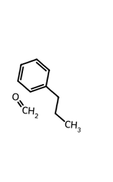 C=O.CCCc1ccccc1